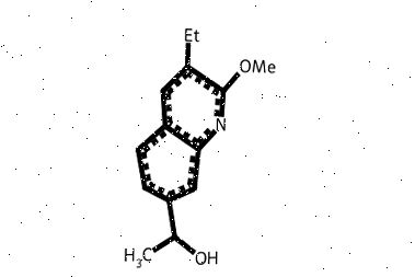 CCc1cc2ccc(C(C)O)cc2nc1OC